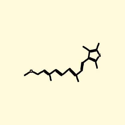 COC/C=C(\C)C=CC=C(C)C=Cc1c(C)sc(C)c1C